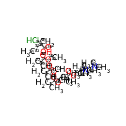 C=C(C)C(=O)OC.C=C(C)C(=O)OC.C=C(C)C(=O)OCC.C=C(C)C(=O)OCC.C=C(CCC)C(=O)O.CN(C)C.CN(C)C.Cl